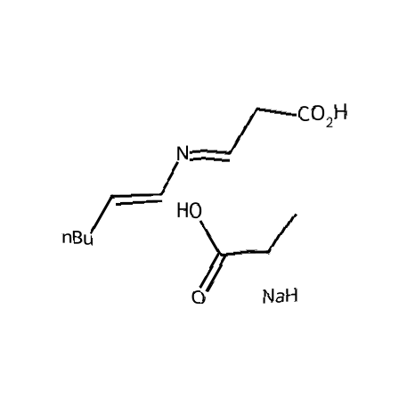 CCC(=O)O.CCCCC=CN=CCC(=O)O.[NaH]